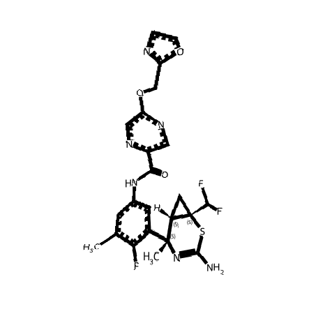 Cc1cc(NC(=O)c2cnc(OCc3ncco3)cn2)cc([C@@]2(C)N=C(N)S[C@@]3(C(F)F)C[C@@H]23)c1F